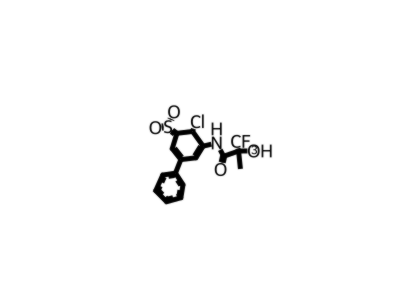 CC(O)(C(=O)NC1=CC(c2ccccc2)=CC(=S(=O)=O)C1Cl)C(F)(F)F